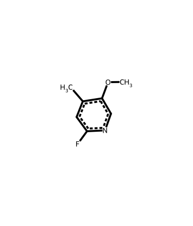 COc1cnc(F)cc1C